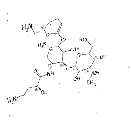 CN[C@@H]1C(O)[C@@H](O[C@@H]2C(O)C(OC3=CCC[C@@H](CN)O3)[C@@H](N)C[C@H]2NC(=O)[C@@H](O)CCN)OC(CO)[C@@H]1O